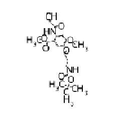 C#CC(=O)Nc1cc(OC)c(OCCCNC(=O)OC(C)(C)C)cc1C(=O)OC